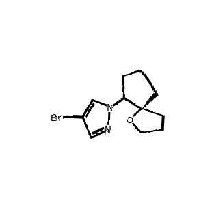 Brc1cnn(C2CCC[C@]23CCCO3)c1